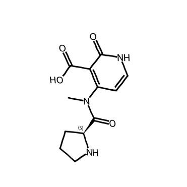 CN(C(=O)[C@@H]1CCCN1)c1cc[nH]c(=O)c1C(=O)O